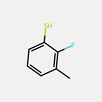 Cc1cccc(S)c1F